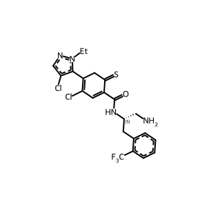 CCn1ncc(Cl)c1C1=C(Cl)C=C(C(=O)N[C@H](CN)Cc2ccccc2C(F)(F)F)C(=S)C1